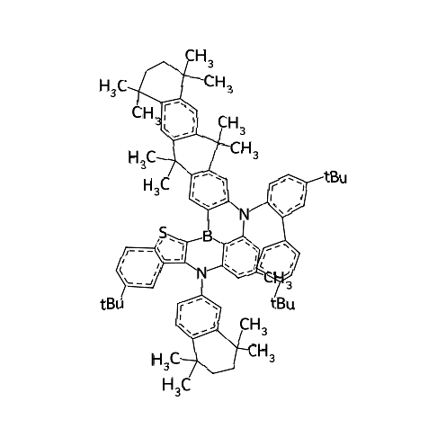 Cc1cc2c3c(c1)N(c1ccc4c(c1)C(C)(C)CCC4(C)C)c1c(sc4ccc(C(C)(C)C)cc14)B3c1cc3c(cc1N2c1ccc(C(C)(C)C)cc1-c1ccc(C(C)(C)C)cc1)C(C)(C)c1cc2c(cc1C3(C)C)C(C)(C)CCC2(C)C